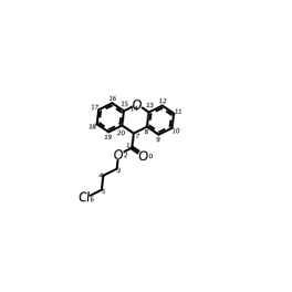 O=C(OCCCCl)C1c2ccccc2Oc2ccccc21